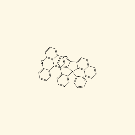 c1ccc(C2(c3ccccc3-c3ccc4cccc5c4c3-c3ccccc3S5)c3ccccc3-c3ccc4ccccc4c32)cc1